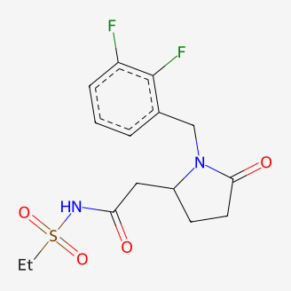 CCS(=O)(=O)NC(=O)CC1CCC(=O)N1Cc1cccc(F)c1F